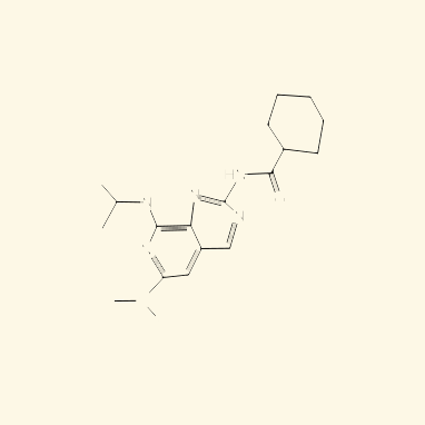 CC(C)Nc1nc([S+](C)[O-])cc2cnc(NC(=O)C3CCCCC3)nc12